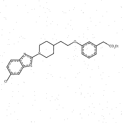 CCOC(=O)Cc1cccc(OCCC2CCN(c3nc4ccc(Cl)cc4s3)CC2)c1